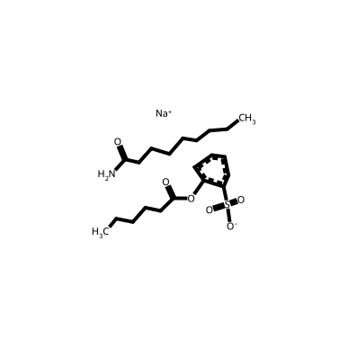 CCCCCC(=O)Oc1ccccc1S(=O)(=O)[O-].CCCCCCCCC(N)=O.[Na+]